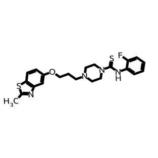 Cc1nc2cc(OCCCN3CCN(C(=S)Nc4ccccc4F)CC3)ccc2s1